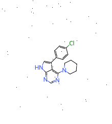 Clc1ccc(-c2c[nH]c3ncnc(N4CCCCC4)c23)cc1